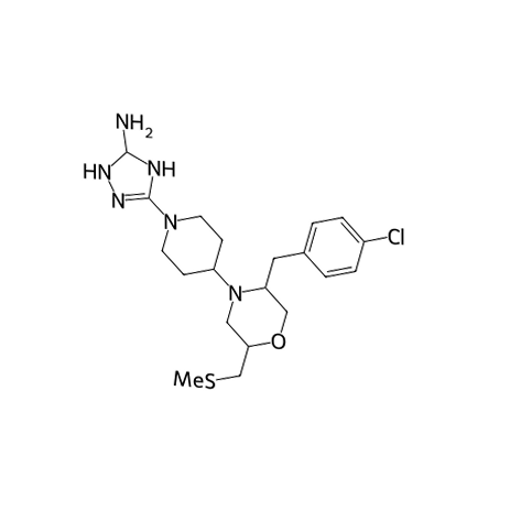 CSCC1CN(C2CCN(C3=NNC(N)N3)CC2)C(Cc2ccc(Cl)cc2)CO1